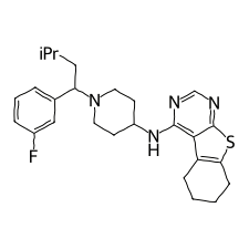 CC(C)CC(c1cccc(F)c1)N1CCC(Nc2ncnc3sc4c(c23)CCCC4)CC1